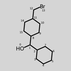 OC(C1CCCCC1)C1CCC(CBr)CC1